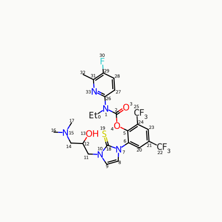 CCN(C(=O)Oc1c(-n2ccn(CC(O)CN(C)C)c2=S)cc(C(F)(F)F)cc1C(F)(F)F)c1ccc(F)c(C)n1